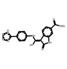 CCCC(Nc1ccc(-c2nnn[nH]2)cc1)=C1C(=O)Nc2cc(C(=O)OC)ccc21